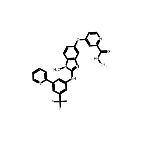 CNC(=O)c1cc(Oc2ccc3c(c2)nc(Nc2cc(-c4ccccn4)cc(C(F)(F)F)c2)n3C)ccn1